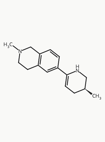 C[C@H]1CC=C(c2ccc3c(c2)CCN(C)C3)NC1